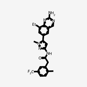 CCc1cc(-c2cc(NC(=O)Cc3cc(C(F)(F)F)ccc3C)nn2C)cc2cnc(N)nc12